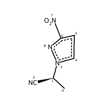 C[C@@H](C#N)n1ccc([N+](=O)[O-])n1